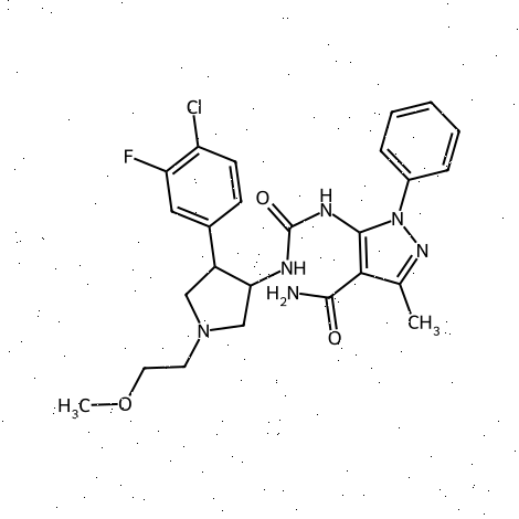 COCCN1CC(NC(=O)Nc2c(C(N)=O)c(C)nn2-c2ccccc2)C(c2ccc(Cl)c(F)c2)C1